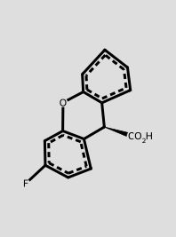 O=C(O)[C@@H]1c2ccccc2Oc2cc(F)ccc21